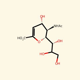 CC(=O)N[C@H]1[C@H]([C@H](O)C(O)CO)OC(C(=O)O)=C[C@@H]1O